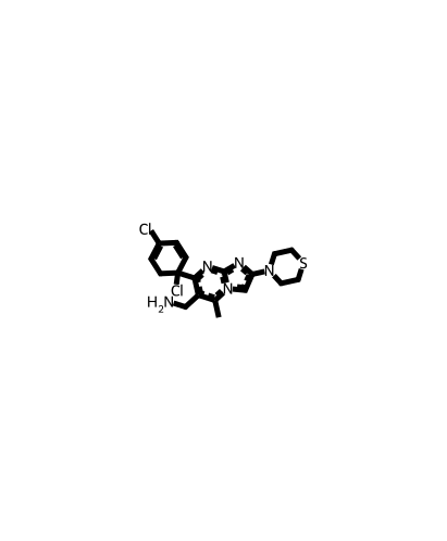 Cc1c(CN)c(C2(Cl)C=CC(Cl)=CC2)nc2nc(N3CCSCC3)cn12